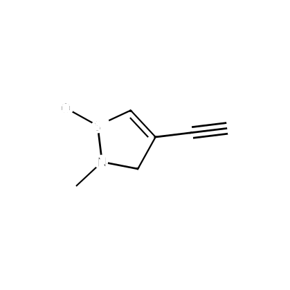 C#CC1=C[S+]([O-])N(C)C1